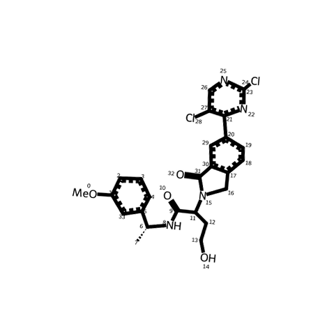 COc1cccc([C@@H](C)NC(=O)C(CCO)N2Cc3ccc(-c4nc(Cl)ncc4Cl)cc3C2=O)c1